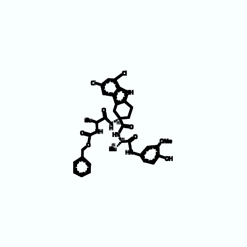 CCC(C)C(NC(=O)OCc1ccccc1)C(=O)N[C@@]1(C(=O)N[C@H](C(=O)Nc2ccc(O)c(OC)c2)[C@@H](C)CC)CCc2[nH]c3c(Cl)cc(Cl)cc3c2C1